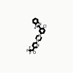 Cn1c(-c2cc(N3CCN(c4ccc(C(=O)C(F)(F)F)cn4)CC3)ccc2Cl)nc2ccccc21